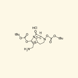 CC(C)(C)OC(=O)OC1=C(CN)C2CCN(OC(=O)OC(C)(C)C)[C@@H]3C(=O)N1[C@H]23.Cl